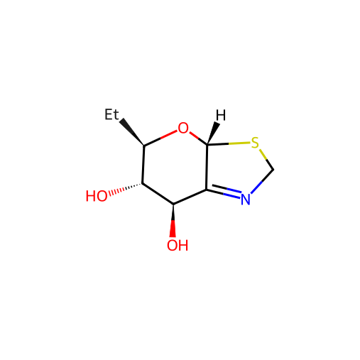 CC[C@H]1O[C@@H]2SCN=C2[C@@H](O)[C@@H]1O